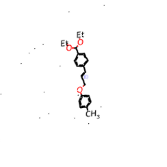 CCOC(OCC)c1ccc(/C=C/COc2ccc(C)cc2)cc1